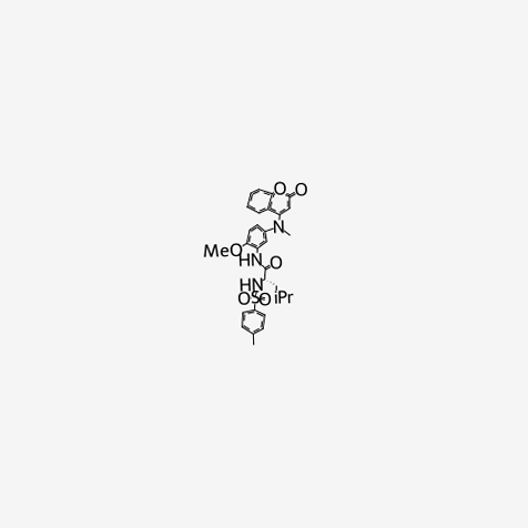 COc1ccc(N(C)c2cc(=O)oc3ccccc23)cc1NC(=O)[C@H](CC(C)C)NS(=O)(=O)c1ccc(C)cc1